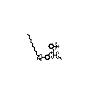 CCCCCCCCCCCc1noc(-c2cccc(CN(Cc3ccccc3C(F)(F)F)C(=O)C(=O)OCC)c2)n1